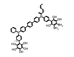 Bc1c(B)c(O)c(-c2ccc(N(C(=C)/C=C\C=C/C)c3ccc(-c4ccc(-c5ccc(N(C6=C[C@@H](C)C(c7c(O)c(O)c(O)c(O)c7O)C=C6)C6C=CC=CC6)cc5)cc4)cc3)cc2)c(O)c1O